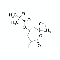 CCC(C)(C)C(=O)OC1CC(F)C(=O)OC(C)(C)C1